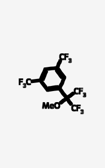 COC(c1cc(C(F)(F)F)cc(C(F)(F)F)c1)(C(F)(F)F)C(F)(F)F